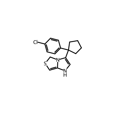 Clc1ccc(C2(C3=CNC4=CSCN43)CCCC2)cc1